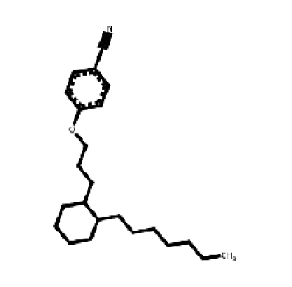 CCCCCCCC1CCCCC1CCCOc1ccc(C#N)cc1